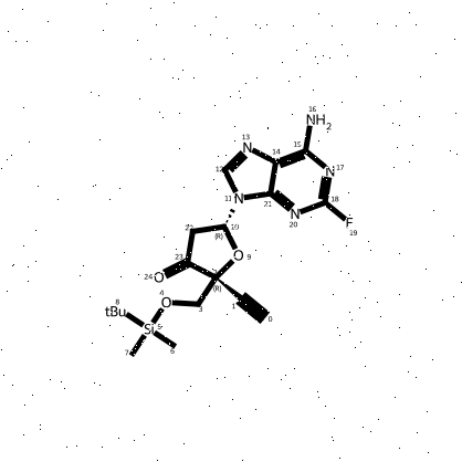 C#C[C@]1(CO[Si](C)(C)C(C)(C)C)O[C@@H](n2cnc3c(N)nc(F)nc32)CC1=O